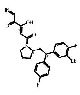 CCc1cc([C@H](C[C@H]2CCCN2C(=O)/C=C(\O)C(=O)C=N)c2ccc(F)cc2)ccc1F